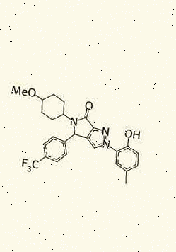 COC1CCC(N2C(=O)c3nn(-c4cc(C)ccc4O)cc3C2c2ccc(C(F)(F)F)cc2)CC1